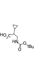 CC(C)(C)OC(=O)NCC(C(=O)O)C1CC1